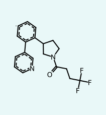 O=C(CCC(F)(F)F)N1CCC(c2cc[c]cc2-c2cccnc2)C1